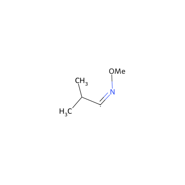 CO/N=[C]\C(C)C